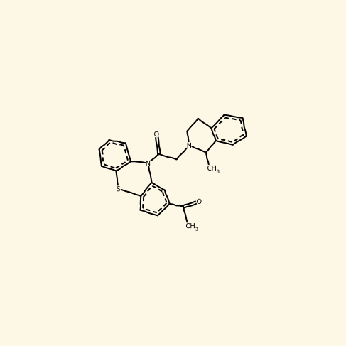 CC(=O)c1ccc2c(c1)N(C(=O)CN1CCc3ccccc3C1C)c1ccccc1S2